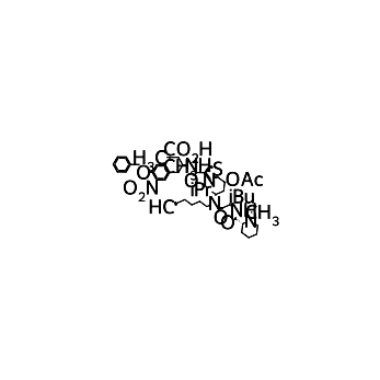 C#CCCCCN(C(=O)C(NC(=O)[C@H]1CCCCN1C)C(C)CC)C(CC(OC(C)=O)c1nc(C(=O)NC(Cc2ccc(OCc3ccccc3)c([N+](=O)[O-])c2)CC(C)(C)C(=O)O)cs1)C(C)C